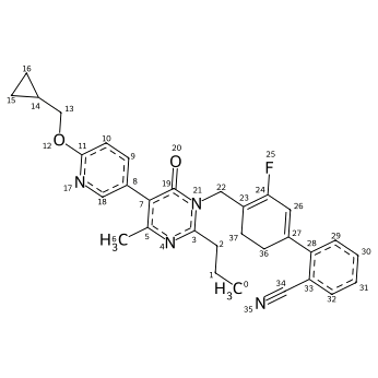 CCCc1nc(C)c(-c2ccc(OCC3CC3)nc2)c(=O)n1CC1=C(F)C=C(c2ccccc2C#N)CC1